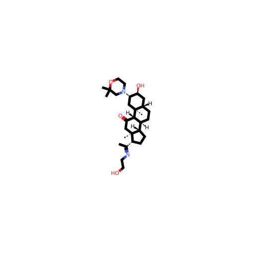 C/C(=N\CCO)[C@H]1CC[C@H]2[C@@H]3CC[C@H]4C[C@H](O)[C@@H](N5CCOC(C)(C)C5)C[C@]4(C)[C@H]3C(=O)C[C@]12C